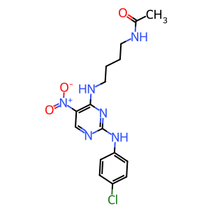 CC(=O)NCCCCNc1nc(Nc2ccc(Cl)cc2)ncc1[N+](=O)[O-]